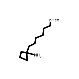 CCCCCCCCCCCCC1(N)CCC1